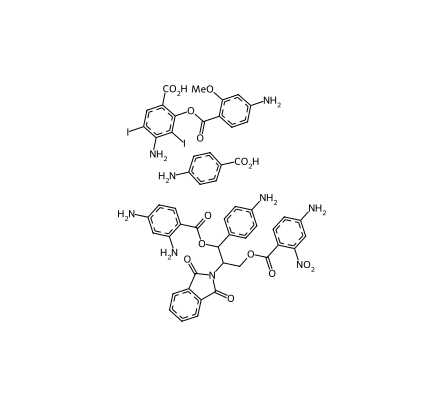 COc1cc(N)ccc1C(=O)Oc1c(C(=O)O)cc(I)c(N)c1I.Nc1ccc(C(=O)O)cc1.Nc1ccc(C(OC(=O)c2ccc(N)cc2N)C(COC(=O)c2ccc(N)cc2[N+](=O)[O-])N2C(=O)c3ccccc3C2=O)cc1